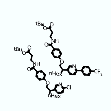 CCCCCCC(COc1ccc(C(=O)NCCC(=O)OC(C)(C)C)cc1)c1ccc(-c2ccc(C(F)(F)F)cc2)nc1.CCCCCCC(COc1ccc(C(=O)NCCC(=O)OC(C)(C)C)cc1)c1ccc(Cl)nc1